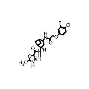 CC1NNC(C(=O)N[C@@H]2CC(NC(=O)COc3ccc(Cl)c(F)c3)C3CC2C3)O1